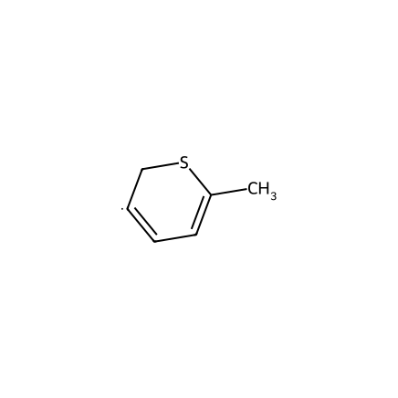 CC1=CC=[C]CS1